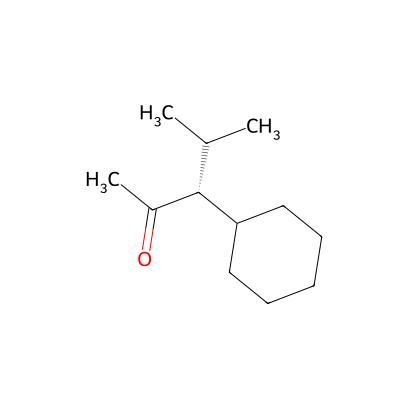 CC(=O)[C@H](C(C)C)C1CCCCC1